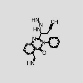 C#CCC(NN=N)c1nc2cccc(C=N)c2c(=O)n1-c1ccccc1